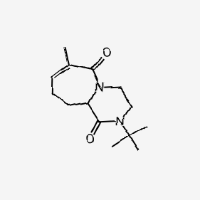 CC1=CCCC2C(=O)N(C(C)(C)C)CCN2C1=O